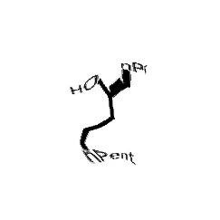 CCCC=C(O)CCCCCCC